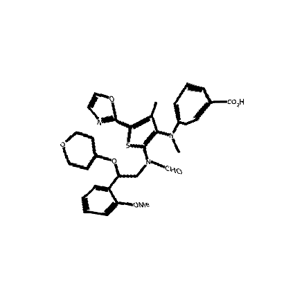 COc1ccccc1C(CN(C=O)c1sc(-c2ncco2)c(C)c1N(C)c1cccc(C(=O)O)c1)OC1CCOCC1